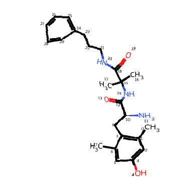 Cc1cc(O)cc(C)c1C[C@H](N)C(=O)NC(C)(C)C(=O)NCCCc1ccccc1